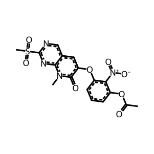 CC(=O)Oc1cccc(Oc2cc3cnc(S(C)(=O)=O)nc3n(C)c2=O)c1[N+](=O)[O-]